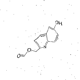 O=COCc1ccc2cc(O)ccc2n1